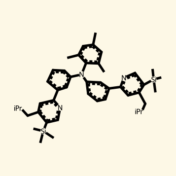 Cc1cc(C)c(N(c2cccc(-c3cc(CC(C)C)c([Si](C)(C)C)cn3)c2)c2cccc(-c3cc(CC(C)C)c([Si](C)(C)C)cn3)c2)c(C)c1